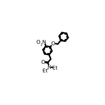 CCN(CC)C(=O)Cc1ccc([N+](=O)[O-])c(OCc2ccccc2)c1